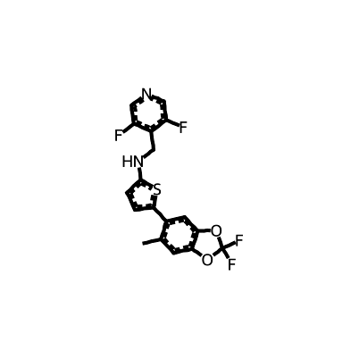 Cc1cc2c(cc1-c1ccc(NCc3c(F)cncc3F)s1)OC(F)(F)O2